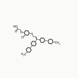 Cc1ccc(-c2ccc(C(=CCSc3ccc(OCC(=O)O)c(Cl)c3)c3ccc(-c4ccc(C)cc4)cc3)cc2)cc1